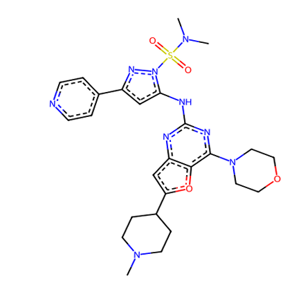 CN1CCC(c2cc3nc(Nc4cc(-c5ccncc5)nn4S(=O)(=O)N(C)C)nc(N4CCOCC4)c3o2)CC1